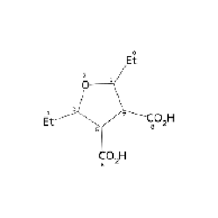 CCC1OC(CC)C(C(=O)O)C1C(=O)O